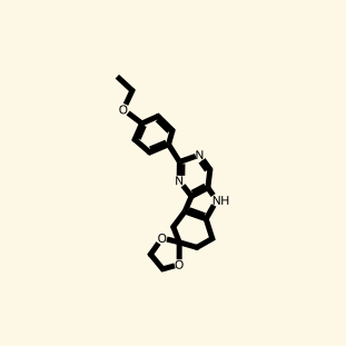 CCOc1ccc(-c2ncc3[nH]c4c(c3n2)CC2(CC4)OCCO2)cc1